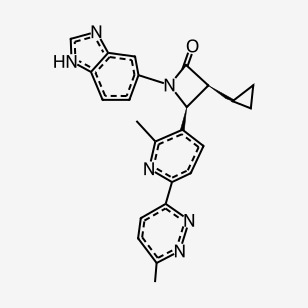 Cc1ccc(-c2ccc([C@@H]3[C@H](C4CC4)C(=O)N3c3ccc4[nH]cnc4c3)c(C)n2)nn1